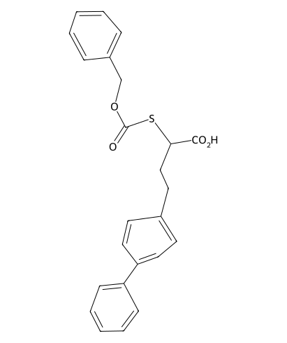 O=C(OCc1ccccc1)SC(CCc1ccc(-c2ccccc2)cc1)C(=O)O